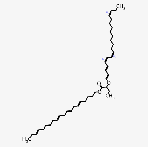 CCC=CCC=CCC=CCC=CCC=CCCCCOC(=O)C(CC)OC=CC=C/C=C\C=C/CCCCCCCC/C=C\CC